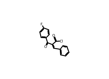 O=C(Cl)C(=Cc1ccccc1)C(=O)c1ccc(F)cc1